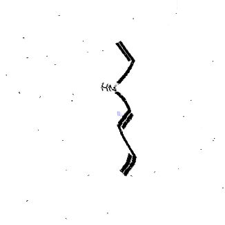 C=C/C=C/NC=C